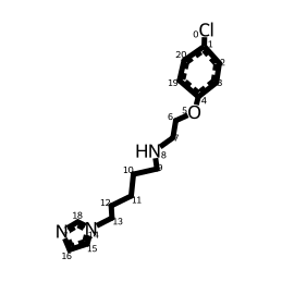 Clc1ccc(OCCNCCCCCn2ccnc2)cc1